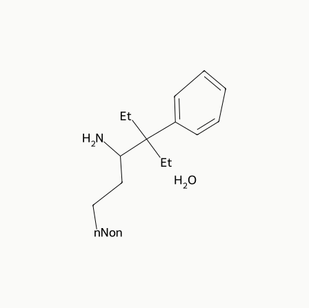 CCCCCCCCCCCC(N)C(CC)(CC)c1ccccc1.O